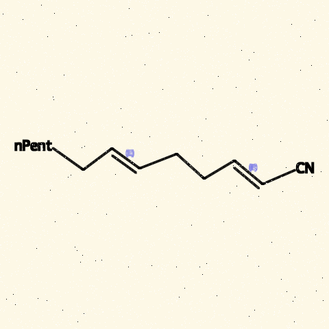 CCCCCC/C=C/CC/C=C/C#N